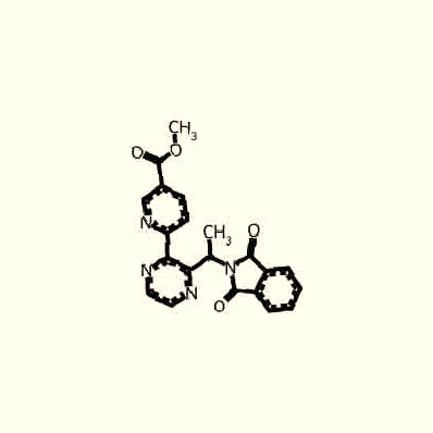 COC(=O)c1ccc(-c2nccnc2C(C)N2C(=O)c3ccccc3C2=O)nc1